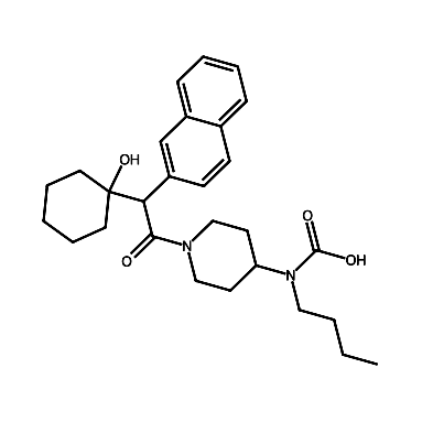 CCCCN(C(=O)O)C1CCN(C(=O)C(c2ccc3ccccc3c2)C2(O)CCCCC2)CC1